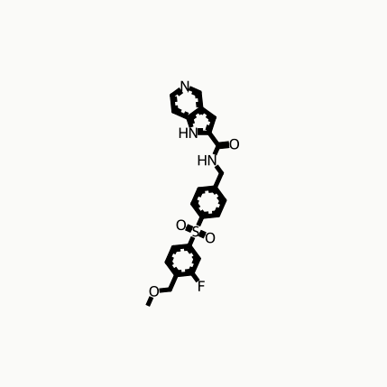 COCc1ccc(S(=O)(=O)c2ccc(CNC(=O)c3cc4cnccc4[nH]3)cc2)cc1F